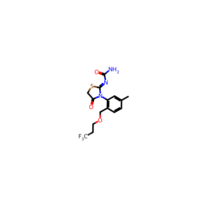 Cc1ccc(COCCC(F)(F)F)c(N2C(=O)CSC2=NC(N)=O)c1